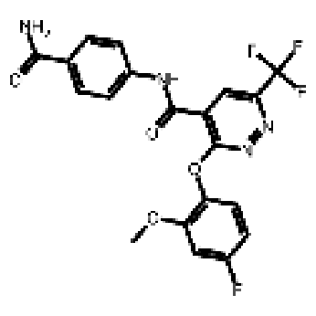 COc1cc(F)ccc1Oc1nnc(C(F)(F)F)cc1C(=O)Nc1ccc(C(N)=O)cc1